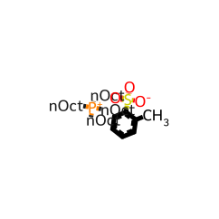 CCCCCCCC[P+](CCCCCCCC)(CCCCCCCC)CCCCCCCC.Cc1ccccc1S(=O)(=O)[O-]